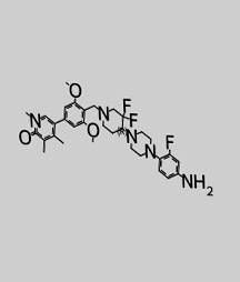 COc1cc(-c2cn(C)c(=O)c(C)c2C)cc(OC)c1CN1CC[C@@H](N2CCN(c3ccc(N)cc3F)CC2)C(F)(F)C1